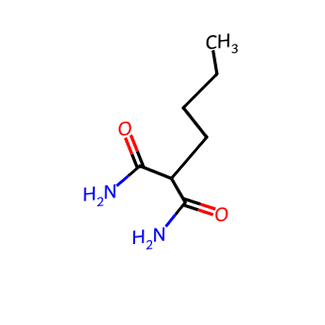 CCCCC(C(N)=O)C(N)=O